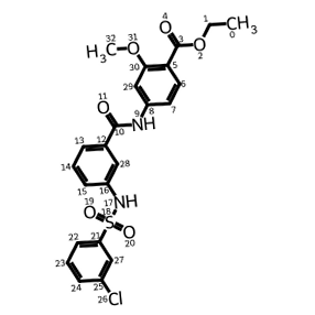 CCOC(=O)c1ccc(NC(=O)c2cccc(NS(=O)(=O)c3cccc(Cl)c3)c2)cc1OC